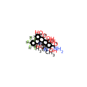 CN(C)[C@@H]1C(O)=C(C(N)=O)C(=O)[C@@]2(O)C(O)=C3C(=O)c4c(O)cccc4/C(=C\c4c(F)c(F)c(F)c(F)c4F)[C@@H]3[C@H](O)[C@@H]12